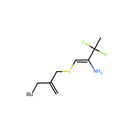 C=C(CS/C=C(\N)C(C)(F)F)CC(C)CC